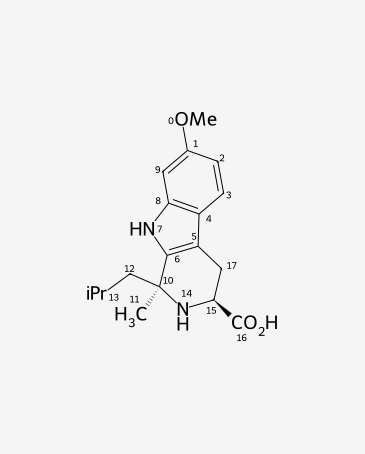 COc1ccc2c3c([nH]c2c1)[C@](C)(CC(C)C)N[C@H](C(=O)O)C3